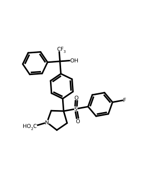 O=C(O)N1CCC(c2ccc(C(O)(c3ccccc3)C(F)(F)F)cc2)(S(=O)(=O)c2ccc(F)cc2)C1